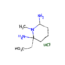 CN1C(N)CCCC1(N)CC(=O)O.Cl